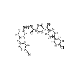 N#Cc1ccc(CN2CCC(N=[N+]=NC(=O)c3ccc(C(=O)N4CCN(c5ccc(Cl)cc5)CC4)cc3)CC2)cc1